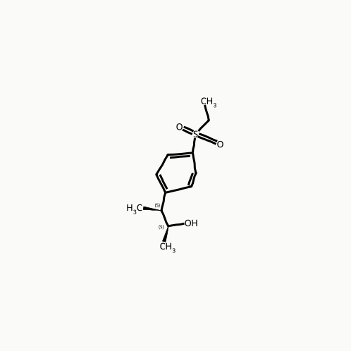 CCS(=O)(=O)c1ccc([C@H](C)[C@H](C)O)cc1